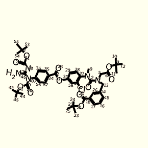 CN(C(=O)N(CC(=O)OC(C)(C)C)Cc1cccc(C(=O)OC(C)(C)C)c1)c1ccc(OC(=O)c2ccc(N(C(=O)OC(C)(C)C)C(N)=NC(=O)OC(C)(C)C)cc2)cc1Cl